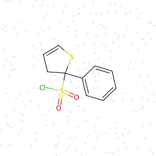 O=S(=O)(Cl)C1(c2ccccc2)CC=CS1